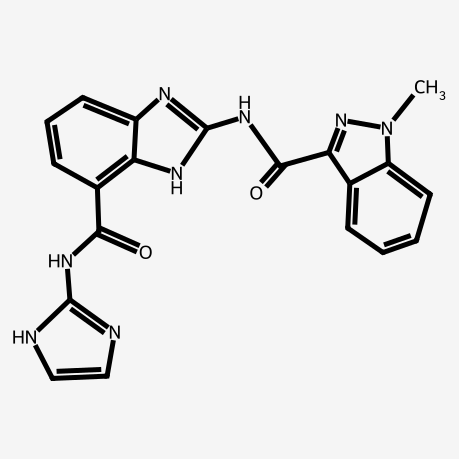 Cn1nc(C(=O)Nc2nc3cccc(C(=O)Nc4ncc[nH]4)c3[nH]2)c2ccccc21